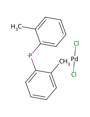 Cc1ccccc1[P]c1ccccc1C.[Cl][Pd][Cl]